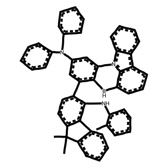 Cc1ccccc1Nc1c(-c2cc(N(c3ccccc3)c3ccccc3)cc3c2Bc2cccc4c5ccccc5n-3c24)ccc2c1-c1ccccc1C2(C)C